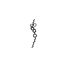 CCCCCCCCC1CCC(c2ccc3cc(OC(=O)CCCC)ccc3c2)CC1